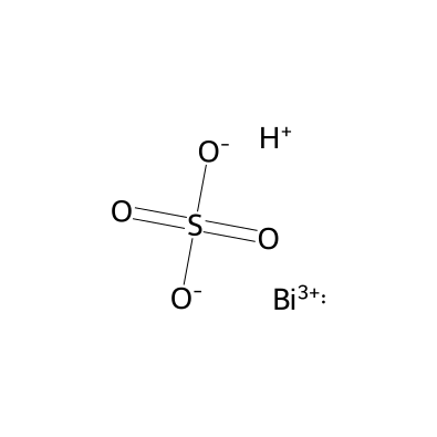 O=S(=O)([O-])[O-].[Bi+3].[H+]